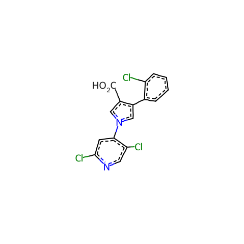 O=C(O)c1cn(-c2cc(Cl)ncc2Cl)cc1-c1ccccc1Cl